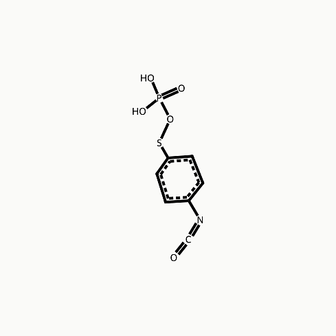 O=C=Nc1ccc(SOP(=O)(O)O)cc1